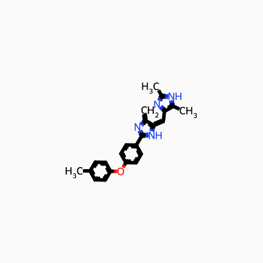 C=c1nc(-c2ccc(Oc3ccc(C)cc3)cc2)[nH]/c1=C/c1nc(C)[nH]c1C